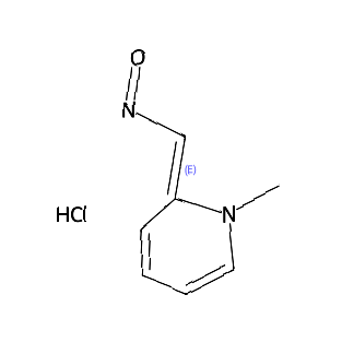 CN1C=CC=C/C1=C\N=O.Cl